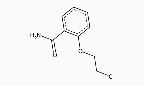 NC(=O)c1ccccc1OCCCl